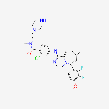 COc1ccc(C2=CC(C)CC=C3C(Nc4ccc(C(=O)N(C)CCN5CCNCC5)c(Cl)c4)=NC=CN32)c(F)c1F